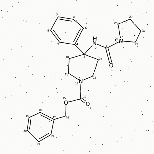 O=C(NC1(c2ccccc2)CCN(C(=O)OCc2ccccc2)CC1)N1CCCC1